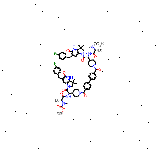 CC[C@@H](C(=O)N[C@H](C(=O)N1CC(C)(C)c2[nH]c(=O)c(Cc3ccc(F)cc3)cc21)C1CCN(C(=O)c2ccc(-c3ccc(C(=O)N4CCC([C@H](NC(=O)[C@H](CC)N(C)C(=O)OC(C)(C)C)C(=O)N5CC(C)(C)c6[nH]c(=O)c(Cc7ccc(F)cc7)cc65)CC4)cc3)cc2)CC1)N(C)C(=O)O